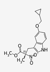 COC(=O)[C@](C)(Cc1c[nH]c2ccc(OCC3CC3)cc12)[N+](=O)[O-]